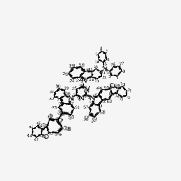 c1ccc(N(c2ccccc2)c2ccc3c(c2)c2ccccc2n3-c2cc(-n3c4ccccc4c4cc(-c5ccc6oc7ccccc7c6c5)ccc43)nc(-n3c4ccccc4c4cc5c(cc43)oc3ccccc35)n2)cc1